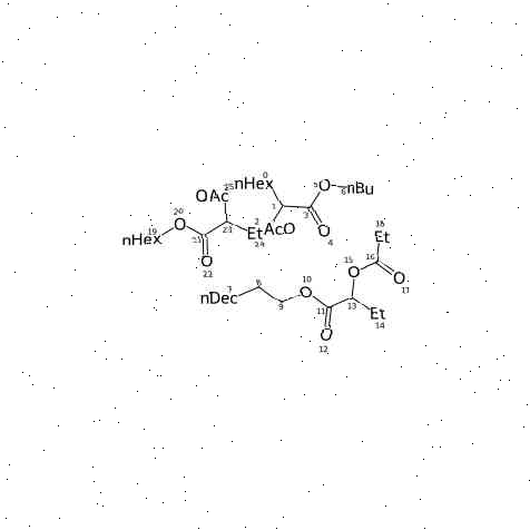 CCCCCCC(OC(C)=O)C(=O)OCCCC.CCCCCCCCCCCCOC(=O)C(CC)OC(=O)CC.CCCCCCOC(=O)C(CC)OC(C)=O